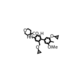 COc1cc(-c2ccc(NC3(C(=O)O)CCOCC3)cc2COC2CC2)cc(OC2CC2)c1C